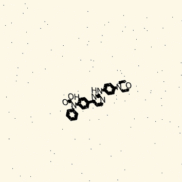 O=C(O)N(c1ccccc1)c1ccc(-c2ccnc(Nc3ccc(N4CCOCC4)cc3)n2)cc1